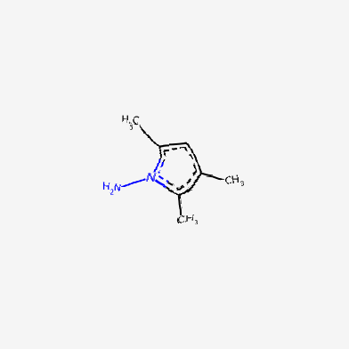 Cc1cc(C)n(N)c1C